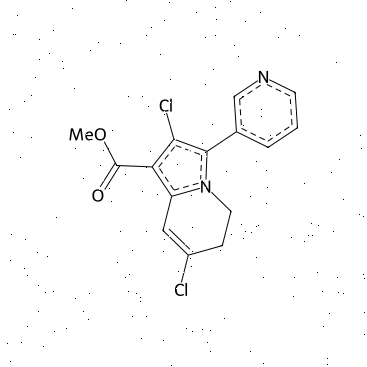 COC(=O)c1c(Cl)c(-c2cccnc2)n2c1C=C(Cl)CC2